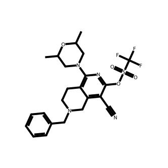 CC1CN(c2nc(OS(=O)(=O)C(F)(F)F)c(C#N)c3c2CCN(Cc2ccccc2)C3)CC(C)O1